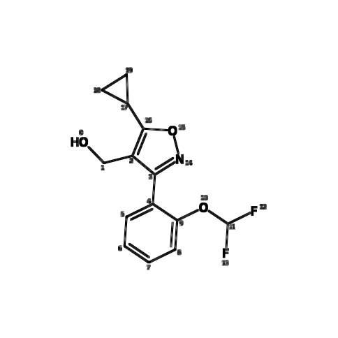 OCc1c(-c2ccccc2OC(F)F)noc1C1CC1